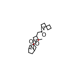 CCOC(=O)N1C2CCC1CC(N1CC(CC(=O)N3CCC34CCC4)C1)C2